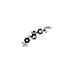 CC(C)(C)OC(=O)N1CCC(n2cnc3c(Oc4ccc(S(C)(=O)=O)cc4)ncnc32)CC1